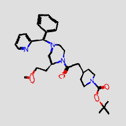 COCC[C@H]1CN(C(c2ccccc2)c2ccccn2)CCN1C(=O)CC1CCN(C(=O)OC(C)(C)C)CC1